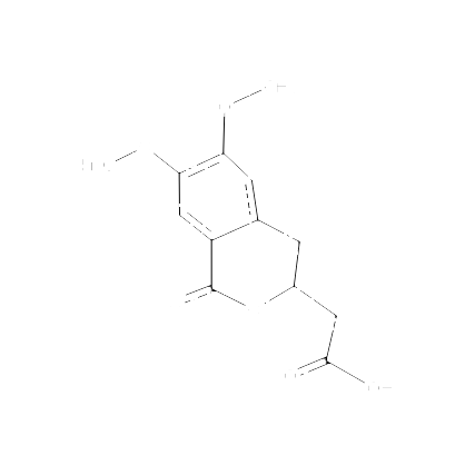 COc1cc2c(cc1OC)C(=O)OC(CC(=O)O)C2